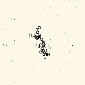 CC1CN(CC2CCC(n3nc(-c4ccc(Oc5ccccc5)cc4)c4c(N)ncnc43)CC2)CC(C)N1c1cc2c(cc1F)C(=O)N(C1CCC(=O)NC1=O)C2=O